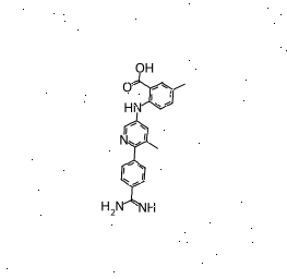 Cc1ccc(Nc2cnc(-c3ccc(C(=N)N)cc3)c(C)c2)c(C(=O)O)c1